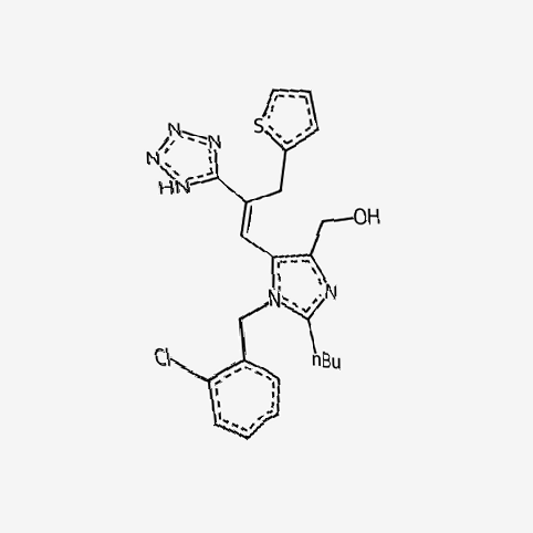 CCCCc1nc(CO)c(C=C(Cc2cccs2)c2nnn[nH]2)n1Cc1ccccc1Cl